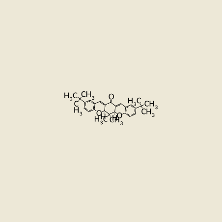 CC(C)(C)c1ccc2c(c1)C=C1C(=O)C3=Cc4cc(C(C)(C)C)ccc4O[C@@H]3C(C)(C)[C@@H]1O2